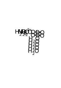 O.O.O.O.O.O.O.O.O=B[O-].O=B[O-].[Mg+2]